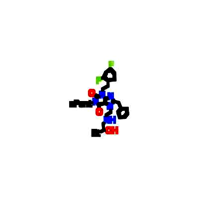 CCCCCn1c(=O)c2c(nc(Cc3ccccc3)n2CCNCC(O)CC)n(CCc2ccc(F)cc2F)c1=O